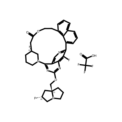 O=C(O)C(F)(F)F.O=C1C[C@@H]2CCCN(C2)c2nc(OC[C@@]34CCCN3C[C@H](F)C4)nc3c(F)c(ncc23)-c2cccc3cccc(c23)CCO1